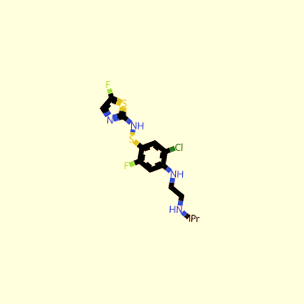 CC(C)NCCNc1cc(F)c(SNc2ncc(F)s2)cc1Cl